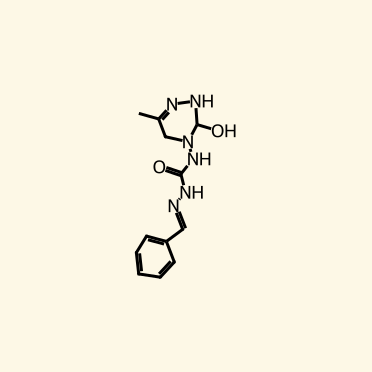 CC1=NNC(O)N(NC(=O)N/N=C/c2ccccc2)C1